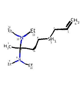 C=CC[SiH2]CCC(C)(N(CC)CC)N(CC)CC